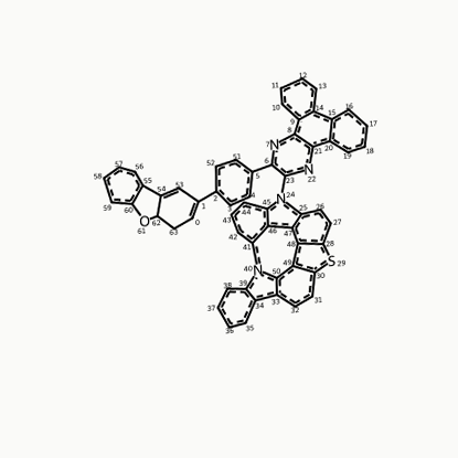 C1=C(c2ccc(-c3nc4c5ccccc5c5ccccc5c4nc3-n3c4ccc5sc6ccc7c8ccccc8n8c9cccc3c9c4c5c6c78)cc2)C=C2c3ccccc3OC2C1